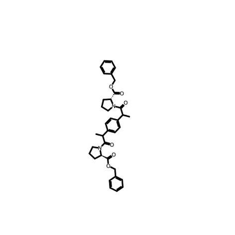 CC(C(=O)N1CCC[C@@H]1C(=O)OCc1ccccc1)c1ccc(C(C)C(=O)N2CCC[C@@H]2C(=O)OCc2ccccc2)cc1